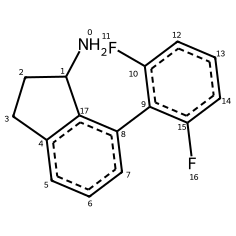 NC1CCc2cccc(-c3c(F)cccc3F)c21